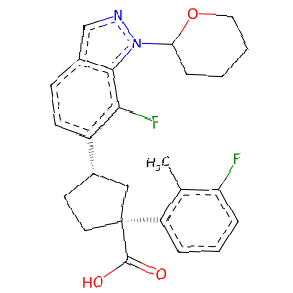 Cc1c(F)cccc1[C@]1(C(=O)O)CC[C@H](c2ccc3cnn(C4CCCCO4)c3c2F)C1